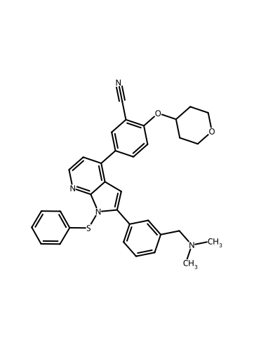 CN(C)Cc1cccc(-c2cc3c(-c4ccc(OC5CCOCC5)c(C#N)c4)ccnc3n2Sc2ccccc2)c1